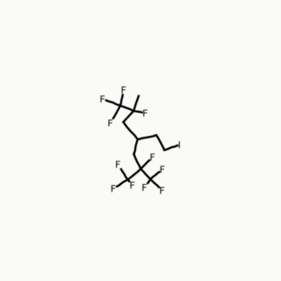 CC(F)(CC(CCI)CC(F)(C(F)(F)F)C(F)(F)F)C(F)(F)F